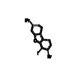 CC(C)c1ccc2c(c1)oc1c(I)c(Br)ccc12